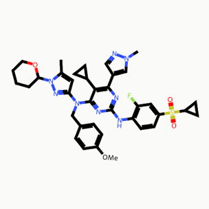 COc1ccc(CN(c2cc(C)n(C3CCCCO3)n2)c2nc(Nc3ccc(S(=O)(=O)C4CC4)cc3F)nc(-c3cnn(C)c3)c2C2CC2)cc1